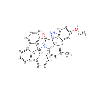 COc1ccc(C2(N)C(=O)N(C(c3ccccc3)(c3ccccc3)c3ccccc3)c3ccc(C)cc32)cc1